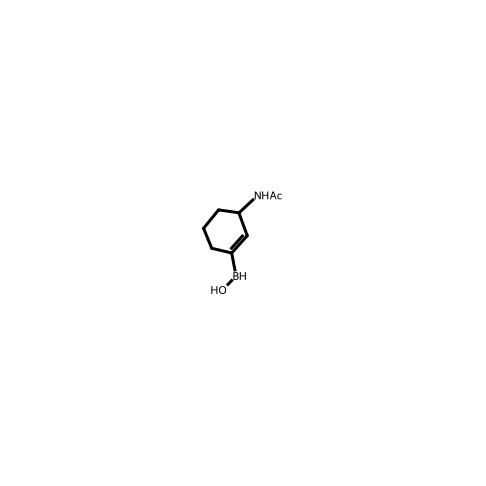 CC(=O)NC1C=C(BO)CCC1